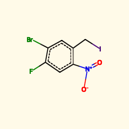 O=[N+]([O-])c1cc(F)c(Br)cc1CI